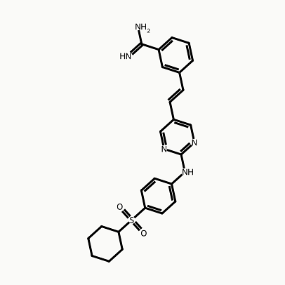 N=C(N)c1cccc(/C=C/c2cnc(Nc3ccc(S(=O)(=O)C4CCCCC4)cc3)nc2)c1